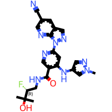 Cn1cc(Nc2cc(-n3ncc4cc(C#N)cnc43)ncc2C(=O)NC[C@@H](F)C(C)(C)O)cn1